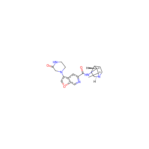 C[C@H]1[C@H](NC(=O)c2cc3c(N4CCNC(=O)C4)coc3cn2)C2CCN1CC2